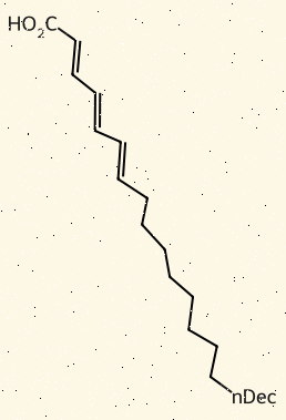 CCCCCCCCCCCCCCCCCCC=CC=CC=CC(=O)O